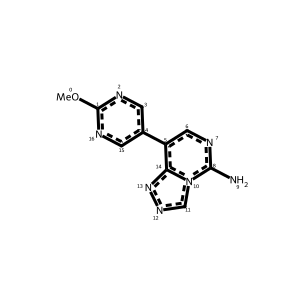 COc1ncc(-c2cnc(N)n3cnnc23)cn1